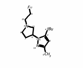 Cc1cc(C(C)(C)C)n(C2CCN(CCF)C2)n1